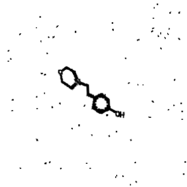 Oc1ccc(CCN2CCOCC2)cc1